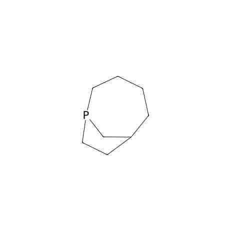 C1CCP2CCC(C1)C2